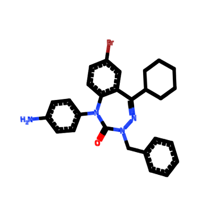 Nc1ccc(N2C(=O)N(Cc3ccccc3)N=C(C3CCCCC3)c3cc(Br)ccc32)cc1